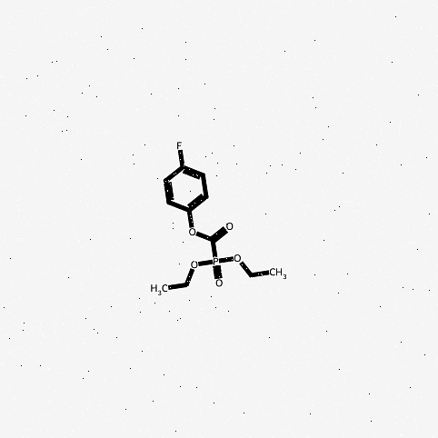 CCOP(=O)(OCC)C(=O)Oc1ccc(F)cc1